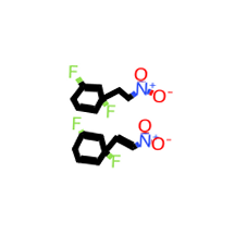 O=[N+]([O-])/C=C/C1(F)C=CCC(F)=C1.O=[N+]([O-])CCC1(F)C=CCC(F)=C1